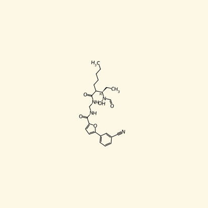 CCCCCC(C(=O)NCNC(=O)c1ccc(-c2cccc(C#N)c2)o1)[C@@H](CC)N(O)C=O